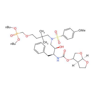 CCCCOP(=O)(COCCC(C)(C)CN(C[C@@H](O)[C@H](Cc1ccccc1)NC(=O)OC1CO[C@H]2OCC[C@@H]12)S(=O)(=O)c1ccc(OC)cc1)OCCCC